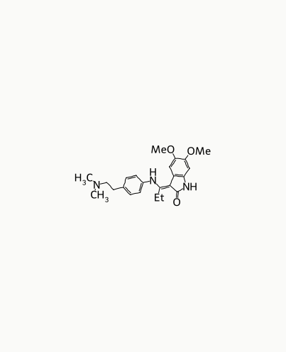 CCC(Nc1ccc(CCN(C)C)cc1)=C1C(=O)Nc2cc(OC)c(OC)cc21